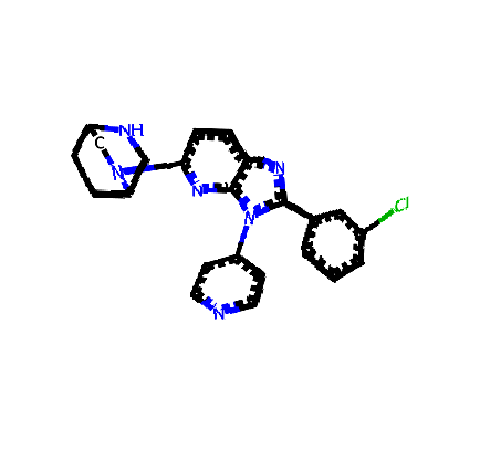 Clc1cccc(-c2nc3ccc(N4CC5CCC4CN5)nc3n2-c2ccncc2)c1